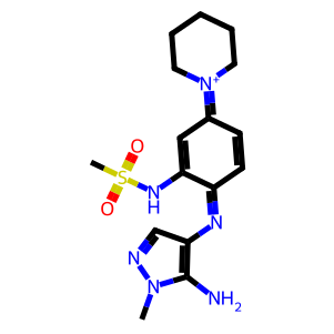 Cn1ncc(/N=C2/C=CC(=[N+]3CCCCC3)C=C2NS(C)(=O)=O)c1N